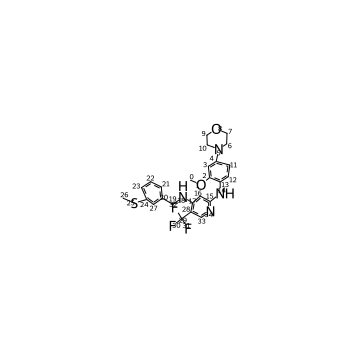 COc1cc(N2CCOCC2)ccc1Nc1cc(NCc2cccc(SC)c2)c(C(F)(F)F)cn1